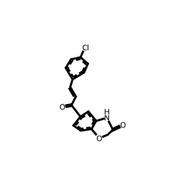 O=C1COc2ccc(C(=O)C=Cc3ccc(Cl)cc3)cc2N1